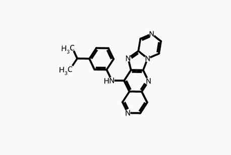 CC(C)c1cccc(Nc2c3cnccc3nc3c2nc2cnccn23)c1